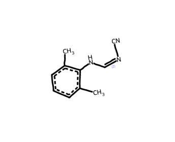 Cc1cccc(C)c1N/C=N\C#N